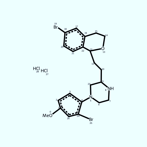 COc1ccc(N2CCNC(CCC3OCCc4cc(Br)ccc43)C2)c(Br)c1.Cl.Cl